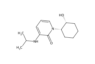 CC(C)Nc1cccn([C@H]2CCCC[C@H]2O)c1=O